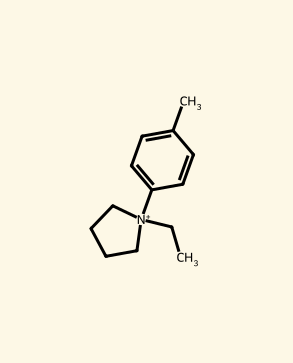 CC[N+]1(c2ccc(C)cc2)CCCC1